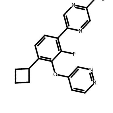 Nc1cnc(-c2ccc(C3CCC3)c(Oc3ccnnc3)c2F)cn1